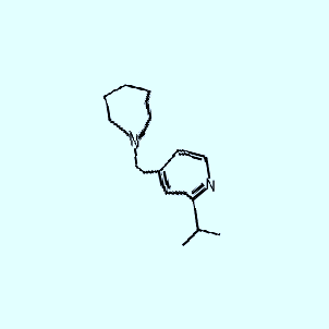 CC(C)c1cc(CN2CCCCC2)ccn1